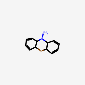 NN1C2C=CC=CC2SC2C=CC=CC21